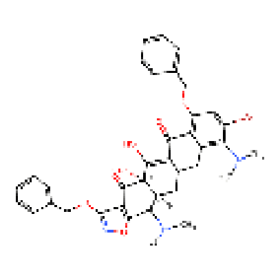 CCN(C)C1c2onc(OCc3ccccc3)c2C(=O)[C@@]2(O)C(O)=C3C(=O)c4c(OCc5ccccc5)cc(Br)c(N(C)C)c4CC3C[C@@H]12